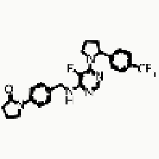 O=C1CCCN1c1ccc(CNc2ncnc(N3CCCC3c3ccc(C(F)(F)F)cc3)c2F)cc1